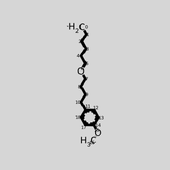 [CH2]CCCCCOCCCCc1ccc(OC)cc1